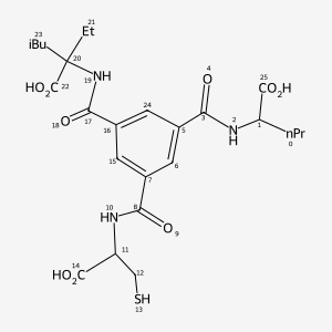 CCCC(NC(=O)c1cc(C(=O)NC(CS)C(=O)O)cc(C(=O)NC(CC)(C(=O)O)C(C)CC)c1)C(=O)O